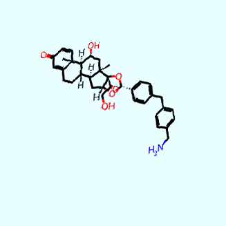 C[C@]12C=CC(=O)C=C1CC[C@@H]1[C@@H]2[C@@H](O)C[C@@]2(C)[C@H]1C[C@H]1O[C@@H](c3ccc(Cc4ccc(CN)cc4)cc3)O[C@]12C(=O)CO